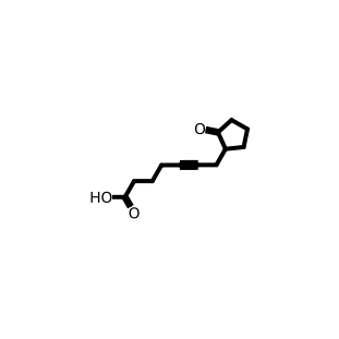 O=C(O)CCCC#CCC1CCCC1=O